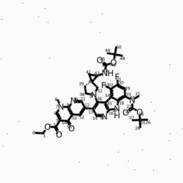 CCOC(=O)c1cn(C)c2ncc(-c3cnc4[nH]c5c(N(C)C(=O)OC(C)(C)C)cc(F)c(F)c5c4c3N3CC[C@@]4(CC4NC(=O)OC(C)(C)C)C3)cc2c1=O